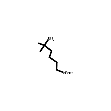 BC(C)(C)CCCCCCCCC